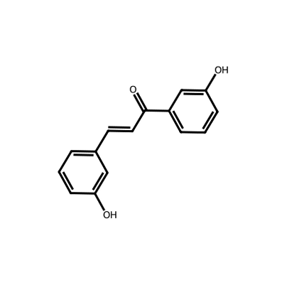 O=C(/C=C/c1cccc(O)c1)c1cccc(O)c1